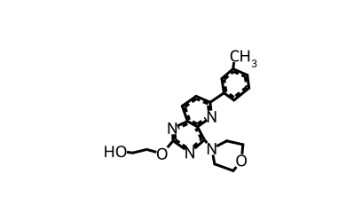 Cc1cccc(-c2ccc3nc(OCCO)nc(N4CCOCC4)c3n2)c1